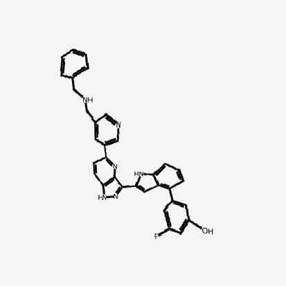 Oc1cc(F)cc(-c2cccc3[nH]c(-c4n[nH]c5ccc(-c6cncc(CNCc7ccccc7)c6)nc45)cc23)c1